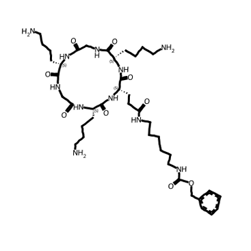 NCCCC[C@@H]1NC(=O)CNC(=O)[C@H](CCCCN)NC(=O)[C@H](CCC(=O)NCCCCCCNC(=O)OCc2ccccc2)NC(=O)[C@H](CCCCN)NC(=O)CNC1=O